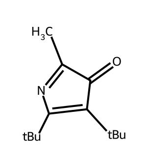 CC1=NC(C(C)(C)C)=C(C(C)(C)C)C1=O